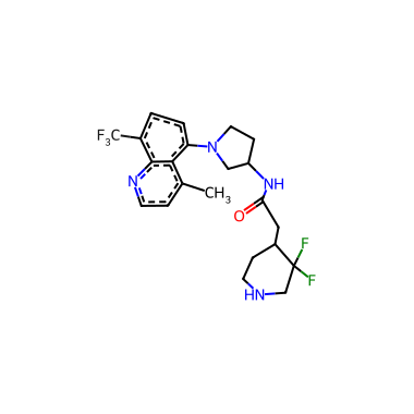 Cc1ccnc2c(C(F)(F)F)ccc(N3CCC(NC(=O)CC4CCNCC4(F)F)C3)c12